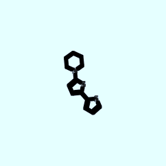 c1csc(-c2ccc(N3CCCCC3)s2)c1